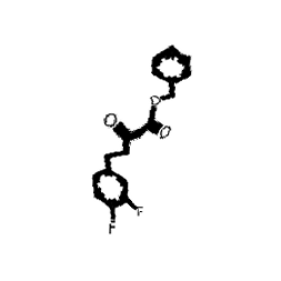 O=C(CCc1ccc(F)c(F)c1)C(=O)OCc1ccccc1